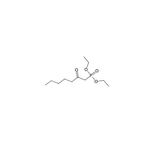 CCCCCC(=O)CP(=O)(OCC)OCC